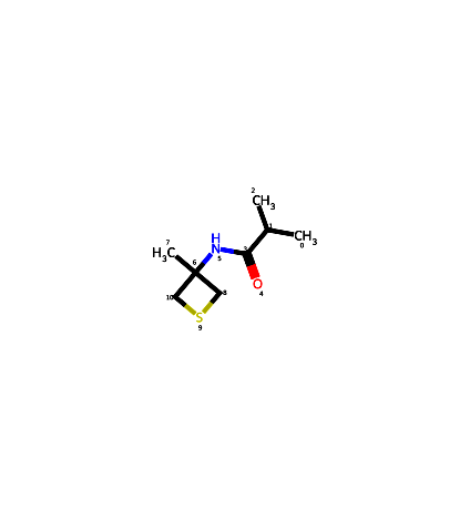 CC(C)C(=O)NC1(C)CSC1